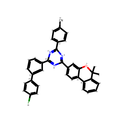 CC1(C)Oc2cc(-c3nc(-c4ccc(C#N)cc4)nc(-c4cccc(-c5ccc(F)cc5)c4)n3)ccc2-c2ccccc21